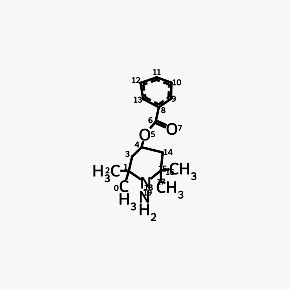 CC1(C)CC(OC(=O)c2ccccc2)CC(C)(C)N1N